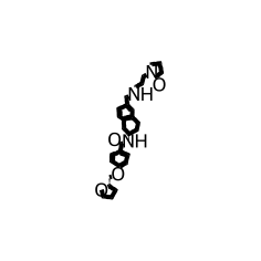 O=C(N[C@H]1CCc2cc(CNCCCN3CCCC3=O)ccc2C1)c1ccc(OC[C@@H]2CCCO2)cc1